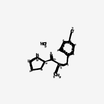 CN(Cc1ccc(Cl)cc1)C(=O)[C@H]1CCCN1.Cl